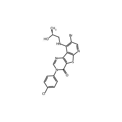 C[C@H](O)CNc1c(Br)cnc2sc3c(=O)n(-c4ccc(Cl)cc4)cnc3c12